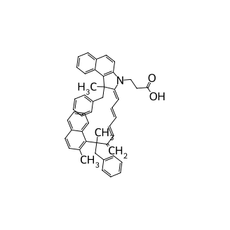 C=C(/C=C/C=C/C=C1/N(CCC(=O)O)c2ccc3ccccc3c2C1(C)Cc1ccccc1)C(C)(Cc1ccccc1)c1c(C)ccc2ccccc12